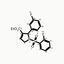 CCOC(=O)C1=CCN(S(=O)(=O)c2ccccc2F)C1c1cccc(F)c1